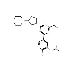 CCc1nc(-c2cnc(N)c(OC(F)F)c2)cc([C@@H]2CC(N3CCOCC3)C[C@@H]2C)n1